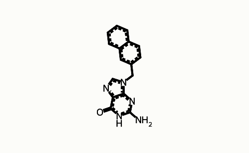 Nc1nc2c(ncn2Cc2ccc3ccccc3c2)c(=O)[nH]1